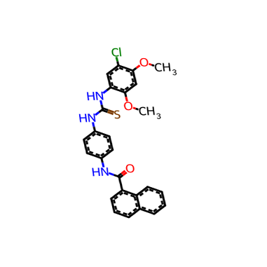 COc1cc(OC)c(NC(=S)Nc2ccc(NC(=O)c3cccc4ccccc34)cc2)cc1Cl